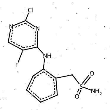 NS(=O)(=O)Cc1ccccc1Nc1nc(Cl)ncc1F